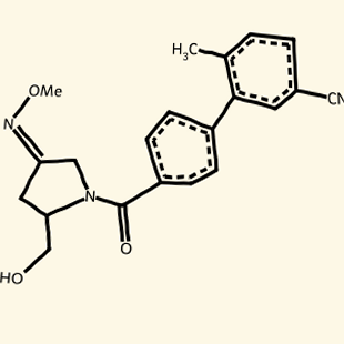 CO/N=C1/CC(CO)N(C(=O)c2ccc(-c3cc(C#N)ccc3C)cc2)C1